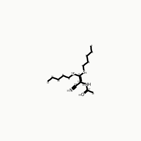 CCCCCSC(SCCCCC)=C(C#N)NC(C)=O